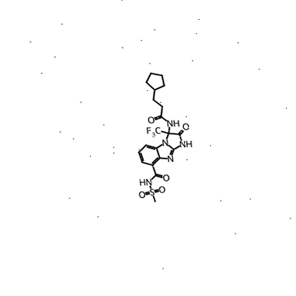 CS(=O)(=O)NC(=O)c1cccc2c1nc1n2C(NC(=O)CCC2CCCC2)(C(F)(F)F)C(=O)N1